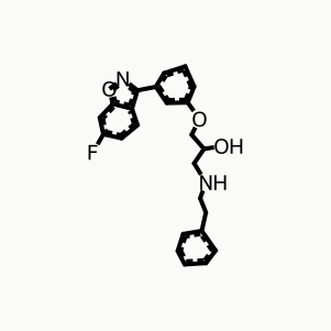 OC(CNCCc1ccccc1)COc1cccc(-c2noc3cc(F)ccc23)c1